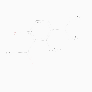 COC(=O)c1c(Br)ccc(C(OC)OC)c1OC